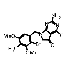 COc1cc(CN2CC(=O)c3c(Cl)nc(N)nc32)c(Br)c(OC)c1C